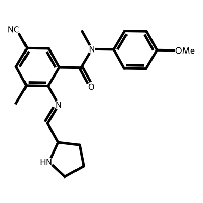 COc1ccc(N(C)C(=O)c2cc(C#N)cc(C)c2/N=C/C2CCCN2)cc1